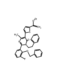 C=C(OCC)c1ccc(-c2c(C)nc(-c3cccc(F)c3OCc3ccccc3)n(CCc3ccccc3)c2=O)s1